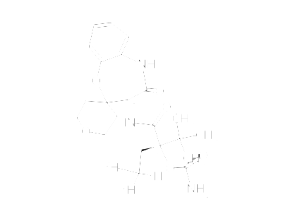 [2H]C([2H])([2H])C[C@@](OC(N)=O)(C(=O)N[C@H]1C(=O)Nc2ccccc2OC12CCOCC2)C(C)(C)C